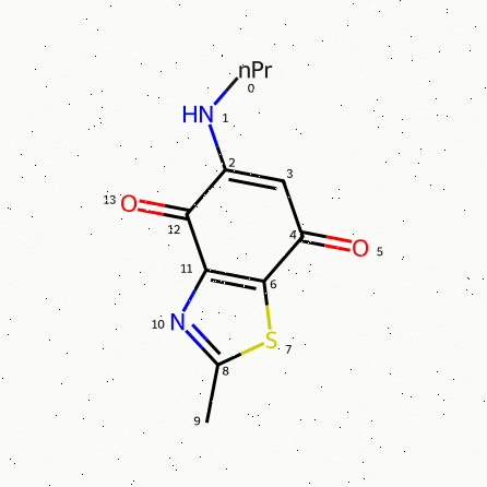 CCCNC1=CC(=O)c2sc(C)nc2C1=O